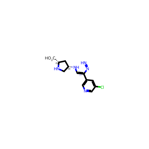 N=N/C(=C\N[C@@H]1CN[C@H](C(=O)O)C1)c1cncc(Cl)c1